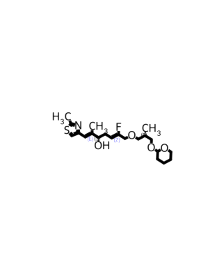 C/C(=C\c1csc(C)n1)[C@@H](O)C/C=C(\F)COC[C@H](C)COC1CCCCO1